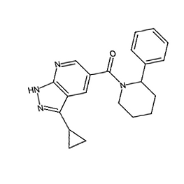 O=C(c1cnc2[nH]nc(C3CC3)c2c1)N1CCCCC1c1ccccc1